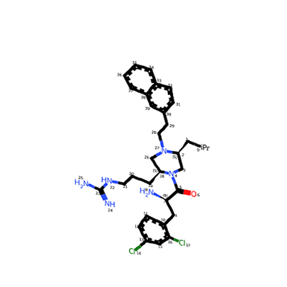 CC(C)C[C@H]1CN(C(=O)[C@H](N)Cc2ccc(Cl)cc2Cl)[C@@H](CCCNC(=N)N)CN1CCc1ccc2ccccc2c1